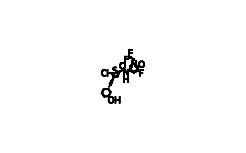 O=C(Nc1cc(F)c(=O)n(CC(F)F)c1)c1cc(C#C[C@H]2CCC[C@H](O)C2)c(Cl)s1